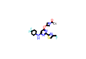 CCC(=O)N1CC(Oc2cc(NC3CCC(F)(F)CC3)nc(-c3nc(CF)cs3)n2)C1